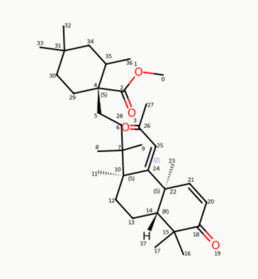 COC(=O)[C@]1(CCC(C)(C)[C@]2(C)CC[C@H]3C(C)(C)C(=O)C=C[C@]3(C)/C2=C/C(C)=O)CCC(C)(C)CC1C